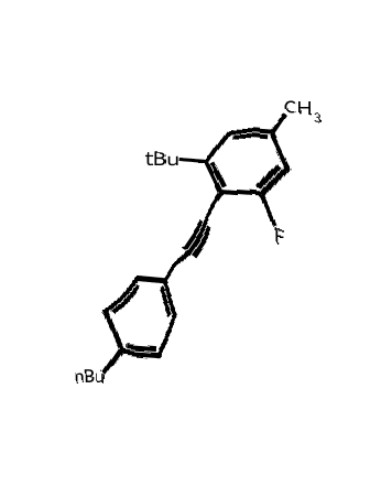 CCCCc1ccc(C#Cc2c(F)cc(C)cc2C(C)(C)C)cc1